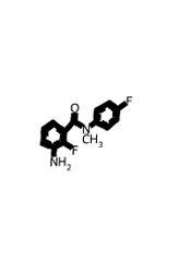 CN(C(=O)c1cccc(N)c1F)c1ccc(F)cc1